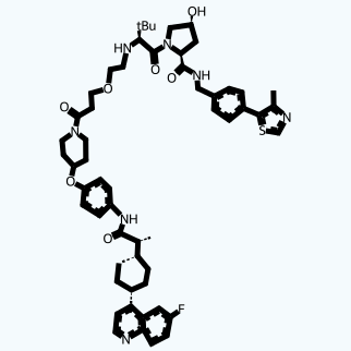 Cc1ncsc1-c1ccc(CNC(=O)[C@@H]2C[C@@H](O)CN2C(=O)[C@@H](NCCOCCC(=O)N2CCC(Oc3ccc(NC(=O)[C@H](C)[C@H]4CC[C@@H](c5ccnc6ccc(F)cc65)CC4)cc3)CC2)C(C)(C)C)cc1